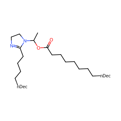 CCCCCCCCCCCCCCCCCC(=O)OC(C)N1CCN=C1CCCCCCCCCCCCCC